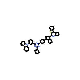 c1ccc(-c2nc(-c3ccc(-c4ccc(-c5nc6ccccc6c6c5sc5ccccc56)c5ccccc45)cc3)nc(-c3cccc(-n4c5ccccc5c5ccccc54)c3)n2)cc1